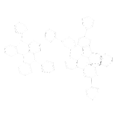 c1ccc(-c2ccc3c(c2)c2ccccc2n3-c2c(-c3cccc(-c4cccc(-c5cc6c7c(c5)N(c5ccccc5)c5ccccc5B7c5ccccc5N6c5ccccc5)c4)c3)cccc2-c2nc(-c3ccccc3)nc(-c3ccccc3)n2)cc1